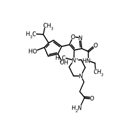 CCNC(=O)c1noc(-c2cc(C(C)C)c(O)cc2O)c1[N+]1(C)CCN(CCC(N)=O)CC1